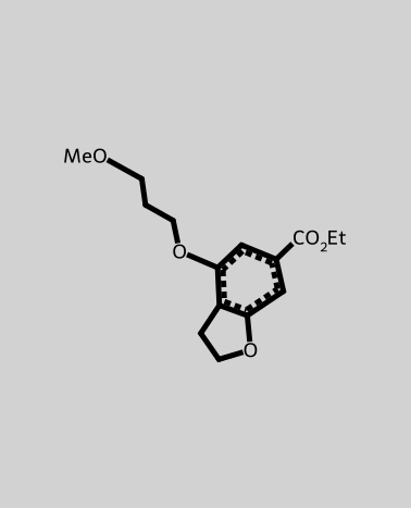 CCOC(=O)c1cc(OCCCOC)c2c(c1)OCC2